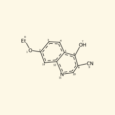 CCOc1ccc2c(O)c(C#N)cnc2c1